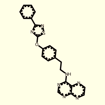 c1ccc(-c2nsc(Oc3ccc(CCNc4ncnc5nccnc45)cc3)n2)cc1